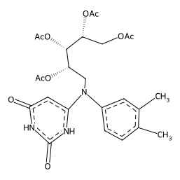 CC(=O)OC[C@@H](OC(C)=O)[C@@H](OC(C)=O)[C@H](CN(c1ccc(C)c(C)c1)c1cc(=O)[nH]c(=O)[nH]1)OC(C)=O